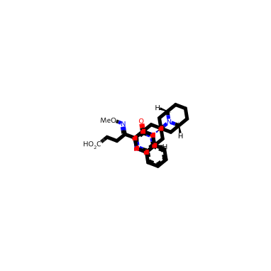 CO/N=C(\CCC(=O)O)c1nc2ccccc2n([C@H]2C[C@H]3CCC[C@@H](C2)N3C2CC3CCC[C@H](C3)C2)c1=O